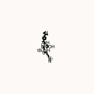 Cc1ncsc1-c1ccc(C(C)NC(=O)[C@@H]2C[C@@H](O)CN2C(=O)C(NC(=O)CCCCN=[N+]=[N-])C(C)(C)C)cc1